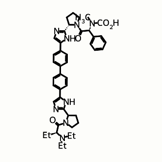 CC[C@@H](C(=O)N1CCCC1c1ncc(-c2ccc(-c3ccc(-c4cnc([C@@H]5CCCN5C(=O)[C@@H](c5ccccc5)N(C)C(=O)O)[nH]4)cc3)cc2)[nH]1)N(CC)CC